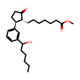 CCCCCC(O)c1cccc([C@H]2CCC(=O)[C@@H]2CCCCCCC(=O)OC)c1